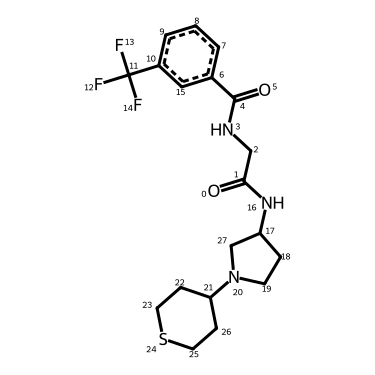 O=C(CNC(=O)c1cccc(C(F)(F)F)c1)NC1CCN(C2CCSCC2)C1